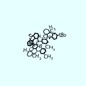 Cc1cc(C)c2c(c1)C1CC3(C)CCCCC3(C)c3cc(C(C)(C)C)cc(c31)B2c1ccc(N2c3ccc(C(C)(C)C)cc3C3(C)CCCCC23C)cc1C(C)c1cccc2sc3ccccc3c12